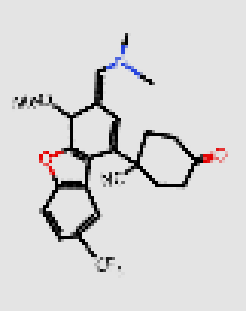 COC1C(=CN(C)C)C=C(C2(C#N)CCC(=O)CC2)c2c1oc1ccc(C(F)(F)F)cc21